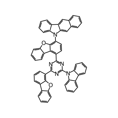 c1ccc2cc3c(cc2c1)c1ccccc1n3-c1ccc(-c2nc(-c3cccc4c3oc3ccccc34)nc(-n3c4ccccc4c4ccccc43)n2)c2c1oc1ccccc12